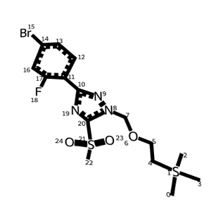 CS(C)(C)CCOCn1nc(-c2ccc(Br)cc2F)nc1S(C)(=O)=O